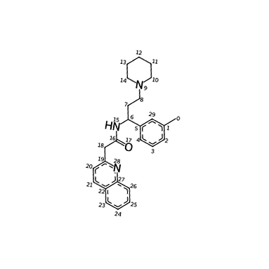 Cc1cccc(C(CCN2CCCCC2)NC(=O)Cc2ccc3ccccc3n2)c1